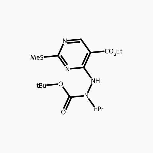 CCCN(Nc1nc(SC)ncc1C(=O)OCC)C(=O)OC(C)(C)C